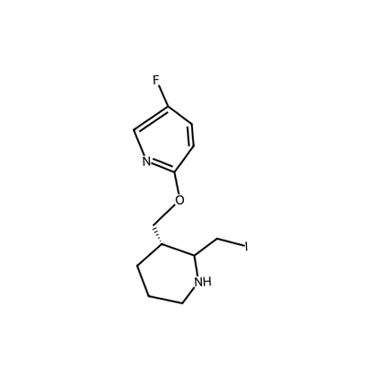 Fc1ccc(OC[C@H]2CCCNC2CI)nc1